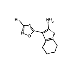 CCc1noc(-c2c(N)sc3c2CCCC3)n1